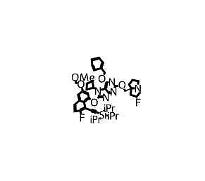 COCOc1cc(Oc2nc3nc(OC[C@@]45CCCN4C[C@H](F)C5)nc(OCc4ccccc4)c3n2C2CCC2)c2c(C#C[Si](C(C)C)(C(C)C)C(C)C)c(F)ccc2c1